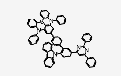 c1ccc(-c2cc(-c3ccc(-n4c5ccccc5c5ccccc54)c(-c4ccc(-c5cc6c7c(c5)N(c5ccccc5)c5ccccc5B7c5ccccc5N6c5ccccc5)cc4)c3)nc(-c3ccccc3)n2)cc1